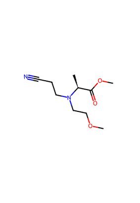 COCCN(CCC#N)[C@@H](C)C(=O)OC